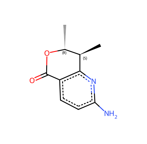 C[C@H]1OC(=O)c2ccc(N)nc2[C@@H]1C